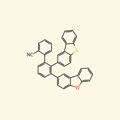 N#Cc1ccccc1-c1cccc(-c2ccc3oc4ccccc4c3c2)c1-c1ccc2sc3ccccc3c2c1